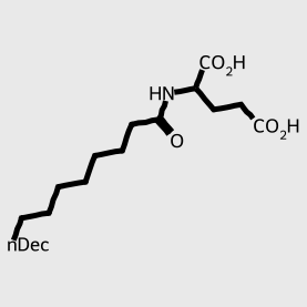 CCCCCCCCCCCCCCCCCC(=O)NC(CCC(=O)O)C(=O)O